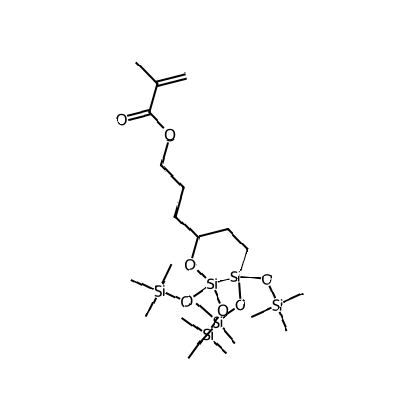 C=C(C)C(=O)OCCCC1CC[Si](O[Si](C)(C)C)(O[Si](C)(C)C)[Si](O[Si](C)(C)C)(O[Si](C)(C)C)O1